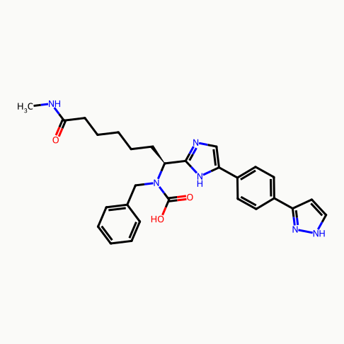 CNC(=O)CCCCC[C@@H](c1ncc(-c2ccc(-c3cc[nH]n3)cc2)[nH]1)N(Cc1ccccc1)C(=O)O